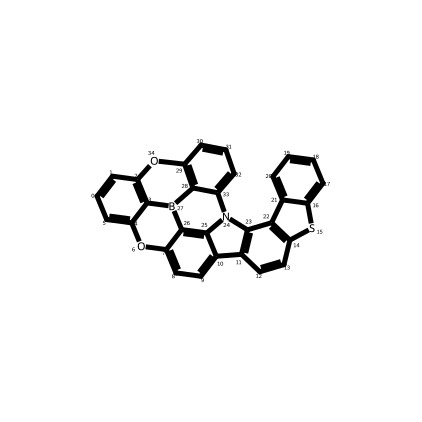 c1cc2c3c(c1)Oc1ccc4c5ccc6sc7ccccc7c6c5n5c4c1B3c1c(cccc1-5)O2